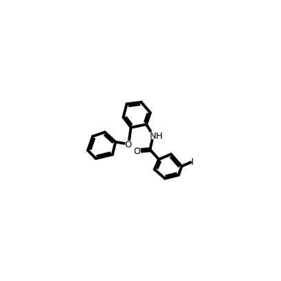 O=C(Nc1ccccc1Oc1ccccc1)c1cccc(I)c1